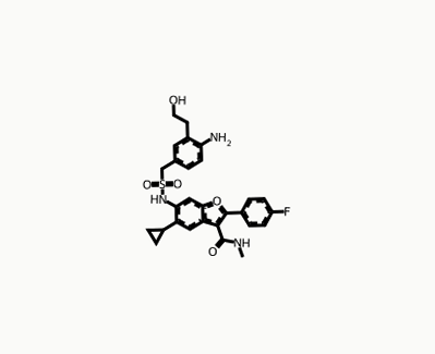 CNC(=O)c1c(-c2ccc(F)cc2)oc2cc(NS(=O)(=O)Cc3ccc(N)c(CCO)c3)c(C3CC3)cc12